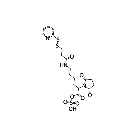 O=C(CCSSc1ccccn1)NCCCCC(C(=O)OS(=O)(=O)O)N1C(=O)CCC1=O